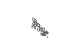 NC[C@@H](NC(=O)C1CCC1)C(=O)Nc1ccc(N2CCOCC2=O)c(OC(F)F)c1